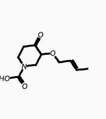 C/C=C/COC1CN(C(=O)O)CCC1=O